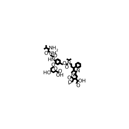 COCc1c(C(O)C=O)cc2n(c1=O)Cc1c-2nc2ccccc2c1CCN(C(=O)OCc1ccc(NC(=O)CNC(=O)C(N)C(C)C)c(OC2CC(O)CC(C(=O)O)O2)c1)C(C)C